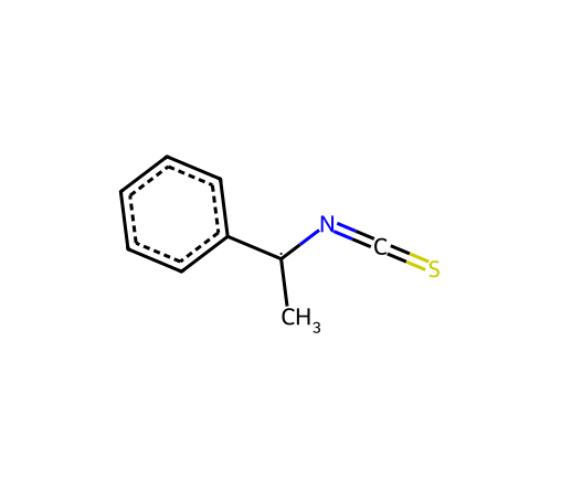 C[C](N=C=S)c1ccccc1